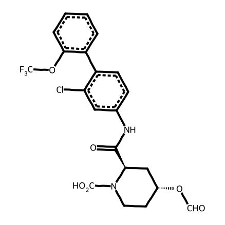 O=CO[C@@H]1CCN(C(=O)O)[C@@H](C(=O)Nc2ccc(-c3ccccc3OC(F)(F)F)c(Cl)c2)C1